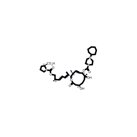 C/C(=C\C=C\[C@@H](C)COC(=O)N1CCC[C@H]1C(=O)O)[C@H]1OC(=O)C[C@H](O)CC[C@@](C)(O)[C@@H](OC(=O)N2CCN(C3CCCCCC3)CC2)/C=C/[C@@H]1C